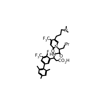 Cc1cc(C)c(-c2cc(C(CC(=O)O)NC(=O)C(CC(C)C)n3cc(CCCN(C)C)c(C(F)(F)F)cc3=O)c(F)c(C(F)(F)F)c2)c(C)c1